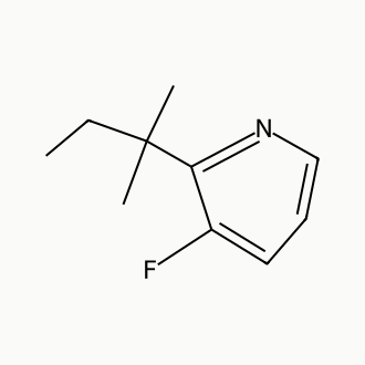 CCC(C)(C)c1ncccc1F